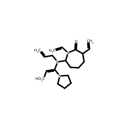 C=CCN(C(=CC(=O)O)N1CCCC1)C1CCCC(C=C)C(=O)N1C=C